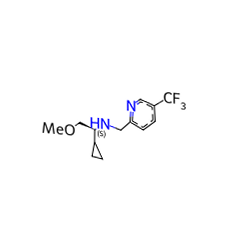 COC[C@@H](NCc1ccc(C(F)(F)F)cn1)C1CC1